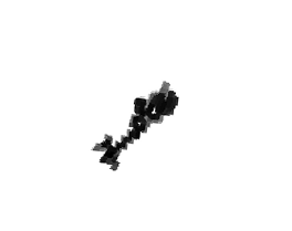 CN(CCCCCCOc1ccc(C(=O)c2ccc(Br)cc2)cc1)C1CC1